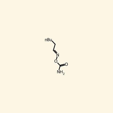 CCCCCC=NOC(N)=O